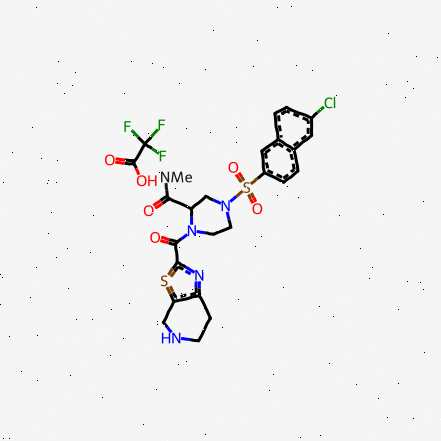 CNC(=O)C1CN(S(=O)(=O)c2ccc3cc(Cl)ccc3c2)CCN1C(=O)c1nc2c(s1)CNCC2.O=C(O)C(F)(F)F